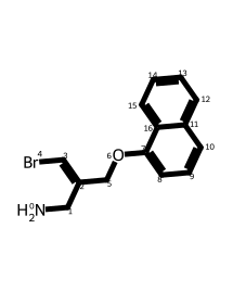 NCC(=CBr)COc1cccc2ccccc12